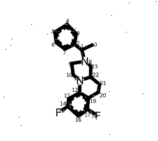 CC(c1ccccc1)N1CCN2c3cc(F)cc(F)c3CCC2C1